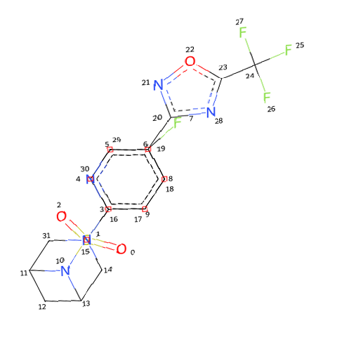 O=S(=O)(c1ccc(F)cc1)N1C2CC1CN(c1ccc(-c3noc(C(F)(F)F)n3)cn1)C2